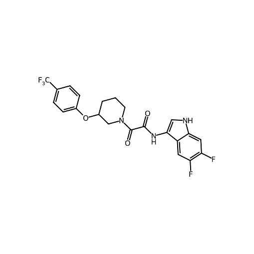 O=C(Nc1c[nH]c2cc(F)c(F)cc12)C(=O)N1CCCC(Oc2ccc(C(F)(F)F)cc2)C1